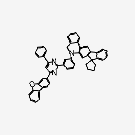 c1ccc(-c2cc(-c3ccc4c(c3)oc3ccccc34)nc(-c3cccc(N4Cc5ccccc5-c5cc6c(cc54)C4(CCCC4)c4ccccc4-6)c3)n2)cc1